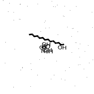 CCCCCCCCCCCCC(C)O.O=S(=O)(O)O.[NaH]